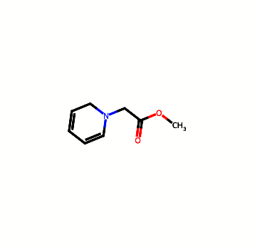 COC(=O)CN1C=CC=CC1